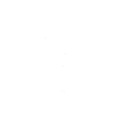 CO/C=C/C(=O)NC(=O)Nc1cc(C(C)(C)C)c(Cl)c(Br)c1F